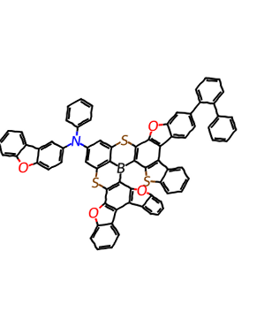 c1ccc(-c2ccccc2-c2ccc3c(c2)oc2c4c(c5sc6ccccc6c5c23)B2c3c(cc(N(c5ccccc5)c5ccc6oc7ccccc7c6c5)cc3S4)Sc3c2c2oc4ccccc4c2c2c3oc3ccccc32)cc1